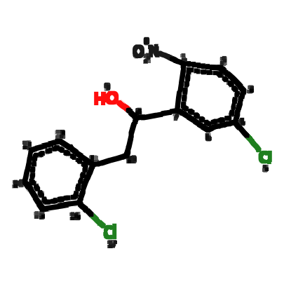 O=[N+]([O-])c1ccc(Cl)cc1C(O)Cc1ccccc1Cl